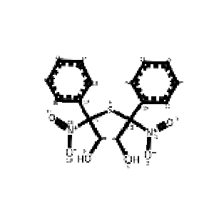 O=[N+]([O-])C(CO)(SC(CO)(c1ccccc1)[N+](=O)[O-])c1ccccc1